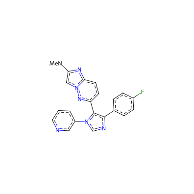 CNc1cn2nc(-c3c(-c4ccc(F)cc4)ncn3-c3cccnc3)ccc2n1